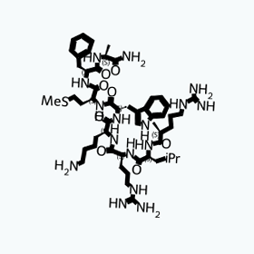 CSCC[C@H](NC(=O)[C@H](Cc1c[nH]c2ccccc12)NC(=O)[C@H](CCCCN)NC(=O)[C@H](CCCNC(=N)N)NC(=O)[C@H](CC(C)C)NC(=O)[C@@H](C)CCCNC(=N)N)C(=O)N[C@@H](Cc1ccccc1)C(=O)N[C@@H](C)C(N)=O